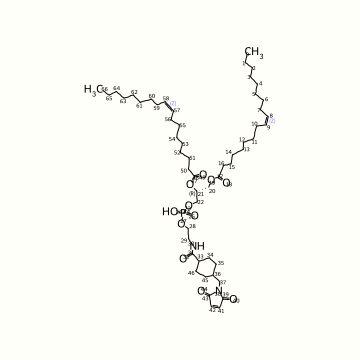 CCCCCCCC/C=C\CCCCCCCC(=O)OC[C@H](COP(=O)(O)OCCNC(=O)C1CCC(CN2C(=O)C=CC2=O)CC1)OC(=O)CCCCCCC/C=C\CCCCCCCC